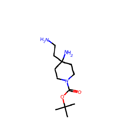 CC(C)(C)OC(=O)N1CCC(N)(CCN)CC1